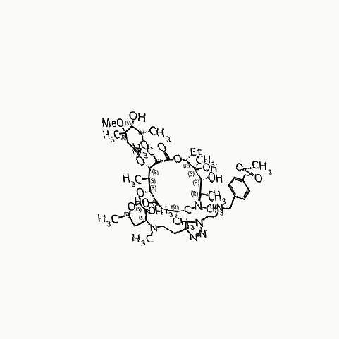 CC[C@H]1OC(=O)[C@H](C)[C@@H](O[C@H]2C[C@@](C)(OC)[C@@H](O)[C@H](C)O2)[C@H](C)[C@@H](O[C@@H]2O[C@H](C)C[C@H](N(C)CCc3cn(CCNCc4ccc(S(C)(=O)=O)cc4)nn3)[C@H]2O)[C@](C)(O)C[C@@H](C)CN(C)[C@H](C)[C@@H](O)[C@]1(C)O